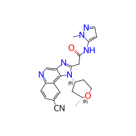 C[C@@H]1C[C@H](n2c(CC(=O)Nc3ccnn3C)nc3cnc4ccc(C#N)cc4c32)CCO1